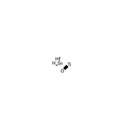 [Hf].[O]=[Ti].[SnH4]